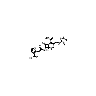 Cn1nnnc1SCC1=C(C(=O)O)N2C(=O)C(NC(=O)Cc3sccc3C(=O)O)[C@H]2SC1